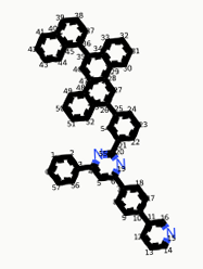 c1ccc(-c2cc(-c3ccc(-c4cccnc4)cc3)nc(-c3cccc(-c4cc5c6ccccc6c(-c6cccc7ccccc67)cc5c5ccccc45)c3)n2)cc1